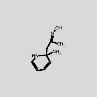 C/C(CC1(N)C=CC=CN1)=N\O